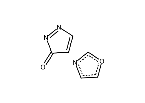 O=C1C=CN=N1.c1cocn1